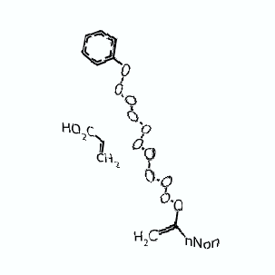 C=C(CCCCCCCCC)OOOOOOOOOOOc1ccccc1.C=CC(=O)O